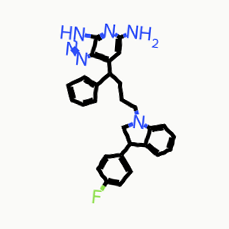 Nc1cc(C(CCCN2CC(c3ccc(F)cc3)c3ccccc32)c2ccccc2)c2nn[nH]c2n1